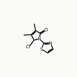 CC1=C(C)C(Cl)N(c2nccs2)C1=O